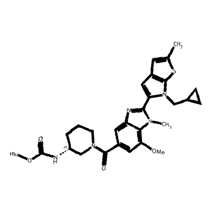 COc1cc(C(=O)N2CCC[C@@H](NC(=O)OC(C)(C)C)C2)cc2nc(-c3cc4cc(C)sc4n3CC3CC3)n(C)c12